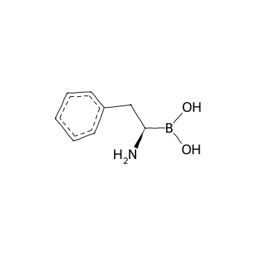 N[C@@H](Cc1ccccc1)B(O)O